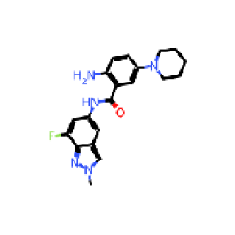 Cn1cc2cc(NC(=O)c3cc(N4CCCCC4)ccc3N)cc(F)c2n1